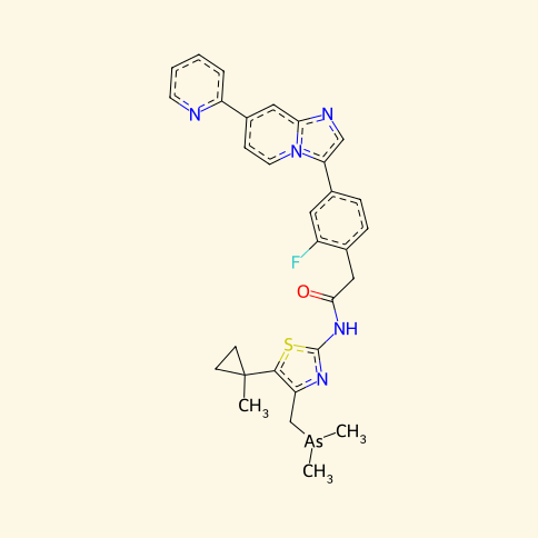 C[As](C)Cc1nc(NC(=O)Cc2ccc(-c3cnc4cc(-c5ccccn5)ccn34)cc2F)sc1C1(C)CC1